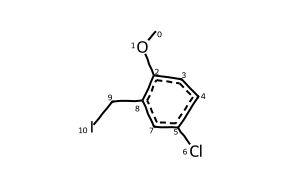 COc1ccc(Cl)cc1CI